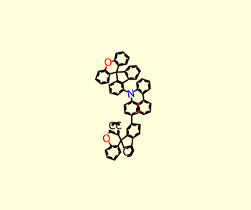 c1ccc(-c2ccccc2N(c2ccc(-c3ccc4c(c3)C3(c5ccccc5Oc5ccccc53)c3ccccc3-4)cc2)c2cccc3c2-c2ccccc2C32c3ccccc3Oc3ccccc32)cc1